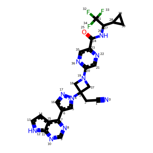 N#CCC1(n2cc(-c3ncnc4[nH]ccc34)cn2)CN(c2cnc(C(=O)NC(C3CC3)C(F)(F)F)cn2)C1